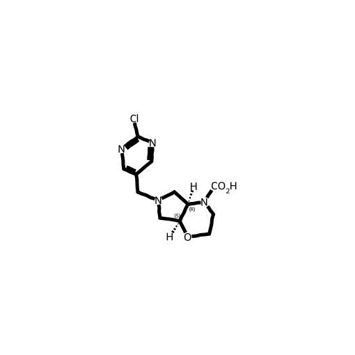 O=C(O)N1CCO[C@H]2CN(Cc3cnc(Cl)nc3)C[C@H]21